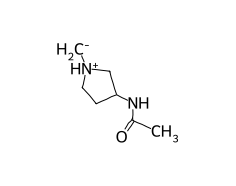 [CH2-][NH+]1CCC(NC(C)=O)C1